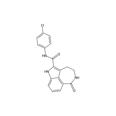 O=C(Nc1ccc(Cl)cc1)c1[nH]c2cccc3c2c1CCNC3=O